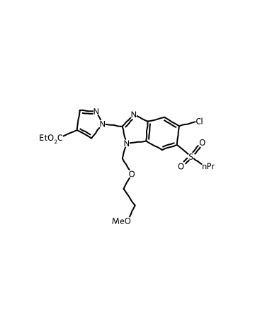 CCCS(=O)(=O)c1cc2c(cc1Cl)nc(-n1cc(C(=O)OCC)cn1)n2COCCOC